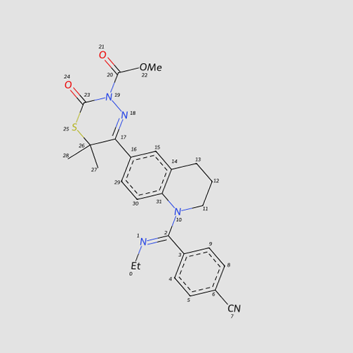 CCN=C(c1ccc(C#N)cc1)N1CCCc2cc(C3=NN(C(=O)OC)C(=O)SC3(C)C)ccc21